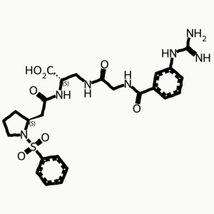 N=C(N)Nc1cccc(C(=O)NCC(=O)NC[C@H](NC(=O)C[C@@H]2CCCN2S(=O)(=O)c2ccccc2)C(=O)O)c1